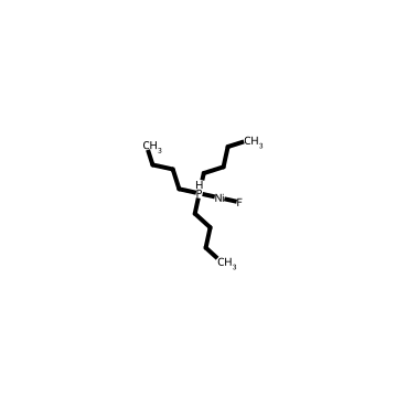 CCCC[PH](CCCC)(CCCC)[Ni][F]